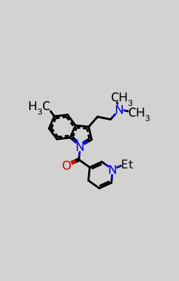 CCN1C=CCC(C(=O)n2cc(CCN(C)C)c3cc(C)ccc32)=C1